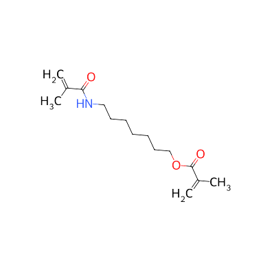 C=C(C)C(=O)NCCCCCCCOC(=O)C(=C)C